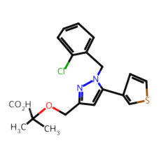 CC(C)(OCc1cc(-c2ccsc2)n(Cc2ccccc2Cl)n1)C(=O)O